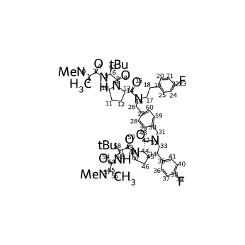 CN[C@@H](C)C(=O)N[C@H](C(=O)N1CCC[C@H]1C(=O)N(CCc1ccc(F)cc1)Cc1ccc(CN(CCc2ccc(F)cc2)C(=O)[C@@H]2CCCN2C(=O)[C@@H](NC(=O)[C@H](C)NC)C(C)(C)C)cc1)C(C)(C)C